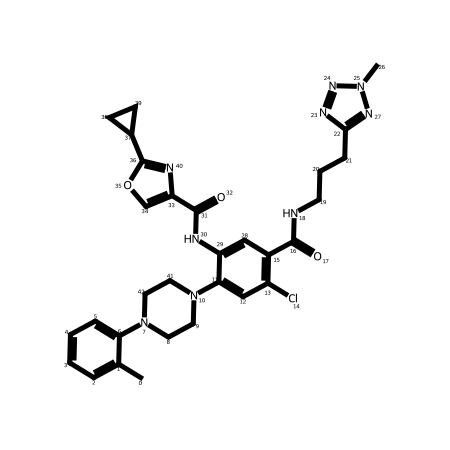 Cc1ccccc1N1CCN(c2cc(Cl)c(C(=O)NCCCc3nnn(C)n3)cc2NC(=O)c2coc(C3CC3)n2)CC1